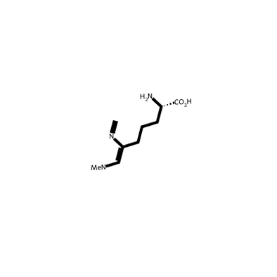 C=N/C(=C\NC)CCC[C@H](N)C(=O)O